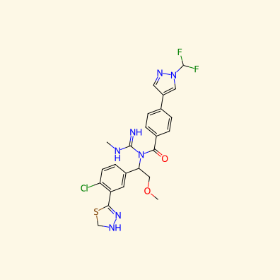 CNC(=N)N(C(=O)c1ccc(-c2cnn(C(F)F)c2)cc1)C(COC)c1ccc(Cl)c(C2=NNCS2)c1